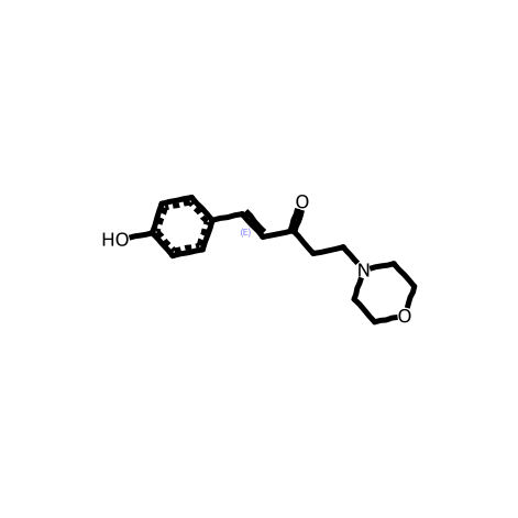 O=C(/C=C/c1ccc(O)cc1)CCN1CCOCC1